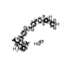 CC(C)(C)n1nc(-c2noc(C3CC3)c2-c2ncc(N3CCN(C(=O)OCC(=O)N4CCC(CN5CCN(c6c(F)cc(N[C@@H]7CCC(=O)NC7=O)cc6F)CC5)CC4)CC3)cn2)c2c(N)ncnc21.O=CO